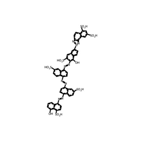 O=S(=O)(O)c1ccc2c(N=Nc3ccc(N=Nc4ccc(S(=O)(=O)O)c5c(O)cccc45)c4ccc(S(=O)(=O)O)cc34)ccc(N=Nc3c(S(=O)(=O)O)cc4cc(-n5nc6ccc7c(S(=O)(=O)O)cc(S(=O)(=O)O)cc7c6n5)ccc4c3O)c2c1